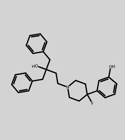 Oc1cccc(C2(F)CCN(CCC(O)(Cc3ccccc3)Cc3ccccc3)CC2)c1